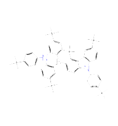 CC(C)(C)C1=CCC(n2c3ccc(C(C)(C)C)cc3c3c4c(ccc32)B2c3c(cc(C(C)(C)C)cc3C4(C)C)-n3c4ccc(C(C)(C)C)cc4c4cc(C(C)(C)C)cc2c43)C=C1